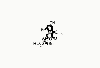 COC(=O)c1c(C)c2cc(C#N)cc(Br)c2n1CCCN(C(=O)O)C(C)(C)C